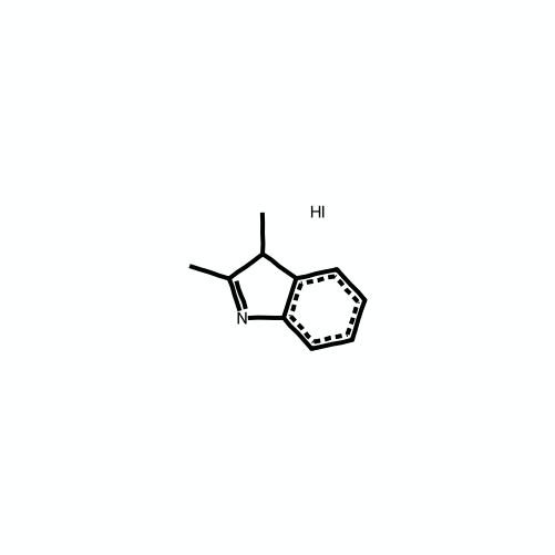 CC1=Nc2ccccc2C1C.I